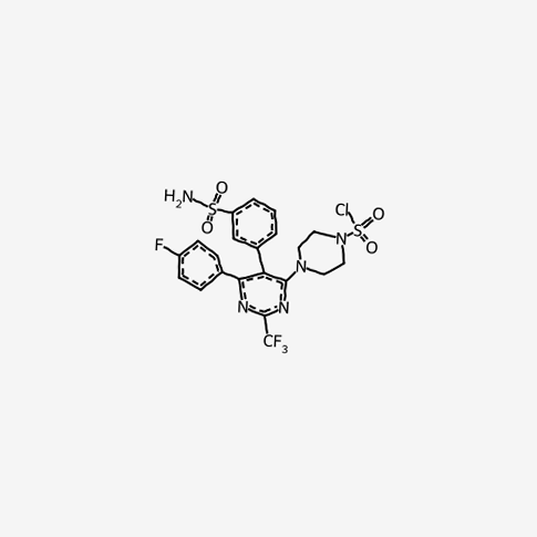 NS(=O)(=O)c1cccc(-c2c(-c3ccc(F)cc3)nc(C(F)(F)F)nc2N2CCN(S(=O)(=O)Cl)CC2)c1